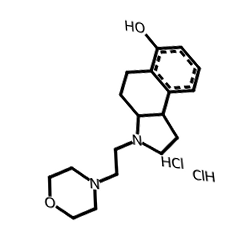 Cl.Cl.Oc1cccc2c1CCC1C2CCN1CCN1CCOCC1